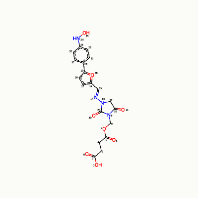 O=C(O)CCC(=O)OCN1C(=O)CN(/N=C/c2ccc(-c3ccc(NO)cc3)o2)C1=O